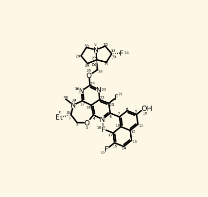 CC[C@H]1COc2nc(-c3cc(O)cc4ccc(F)c(F)c34)c(F)c3nc(OC[C@@]45CCCN4C[C@H](F)C5)nc(c23)N1C